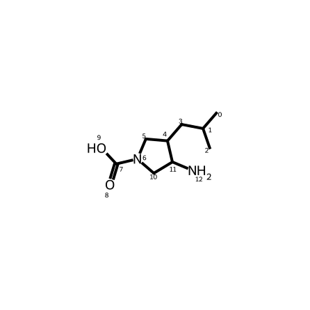 CC(C)CC1CN(C(=O)O)CC1N